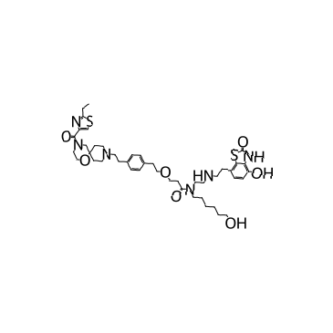 CCc1nc(C(=O)N2CCOC3(CCN(CCc4ccc(CCOCCC(=O)N(CCCCCCO)CCNCCc5ccc(O)c6[nH]c(=O)sc56)cc4)CC3)C2)cs1